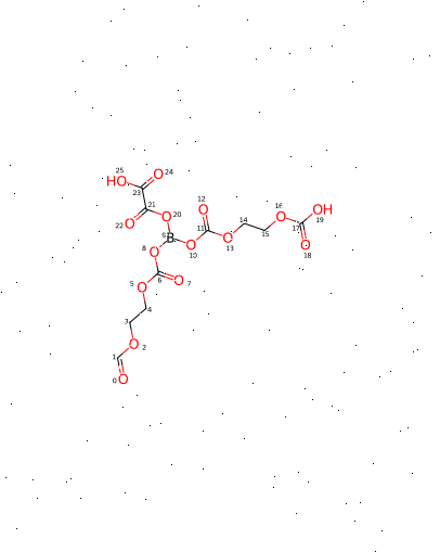 O=COCCOC(=O)OB(OC(=O)OCCOC(=O)O)OC(=O)C(=O)O